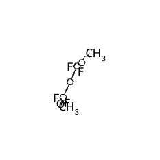 CCCC1CCc2c(cc(F)c(C#Cc3ccc(C#Cc4cc(F)c(OC)c(F)c4)cc3)c2F)C1